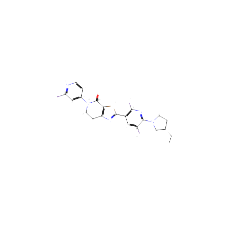 CC[C@@H]1CCN(c2nc(I)c(-c3nc4c(s3)C(=O)N(c3ccnc(I)c3)CC4)cc2I)C1